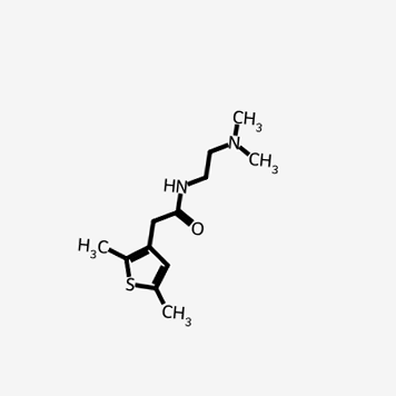 Cc1cc(CC(=O)NCCN(C)C)c(C)s1